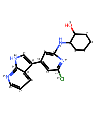 OC1CCCCC1Nc1cc(-c2c[nH]c3ncccc23)cc(Cl)n1